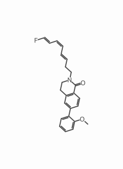 COc1ccccc1-c1ccc2c(c1)CCN(CC/C=C/C=C\C=C\F)C2=O